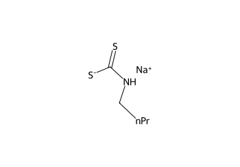 CCCCNC(=S)[S-].[Na+]